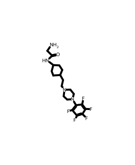 NCC(=O)NC1CCC(CCN2CCN(c3c(F)c(F)c(F)c(F)c3F)CC2)CC1